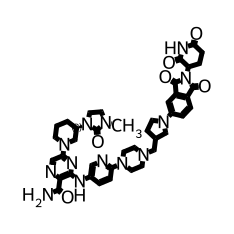 CN1CCN([C@@H]2CCCN(c3cnc(C(N)=O)c(Nc4ccc(N5CCN(CC6CCN(c7ccc8c(c7)C(=O)N(C7CCC(=O)NC7=O)C8=O)C6)CC5)nc4)n3)C2)C1=O